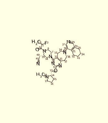 C=C(F)C(=O)N1CCN(c2nc(OC[C@@H]3CCCN3C)nc3c2CCN(c2cncc4c2CCCC4)CC3)C[C@@H]1CC#N